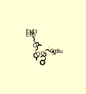 C=C1C[C@H](CCCO[Si](CC)(CC)CC)OC1CC[C@H]1C[C@@H](C)C(=C)[C@@H](CC2O[C@H](C[C@H](C)CO[Si](C)(C)C(C)(C)C)[C@H](C)[C@H]2Cc2ccccc2)O1